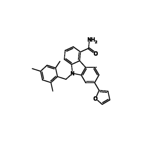 Cc1cc(C)c(Cn2c3cc(-c4ccco4)c[c]c3c3c(C(N)=O)cccc32)c(C)c1